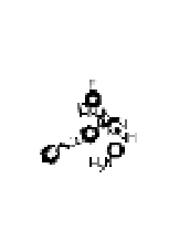 N[C@H]1CC[C@H](Nc2ncc3nc(Nc4ccc(F)cc4F)n([C@H]4CC[C@@H](COCCN5CCCCC5)CC4)c3n2)CC1